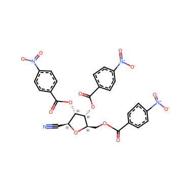 N#C[C@@H]1O[C@H](COC(=O)c2ccc([N+](=O)[O-])cc2)[C@@H](OC(=O)c2ccc([N+](=O)[O-])cc2)[C@H]1OC(=O)c1ccc([N+](=O)[O-])cc1